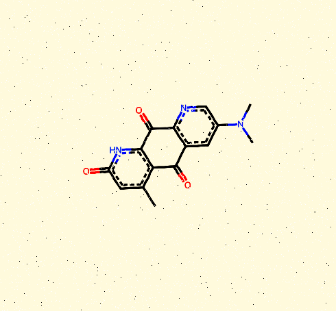 Cc1cc(=O)[nH]c2c1C(=O)c1cc(N(C)C)cnc1C2=O